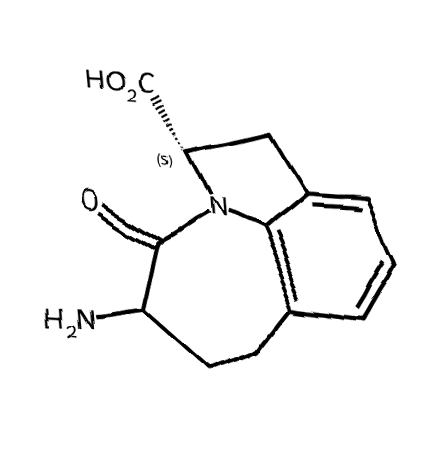 NC1CCc2cccc3c2N(C1=O)[C@H](C(=O)O)C3